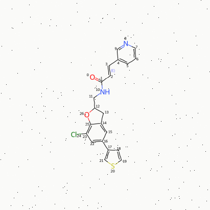 O=C(/C=C/c1cccnc1)NCC1Cc2cc(-c3ccsc3)cc(Cl)c2O1